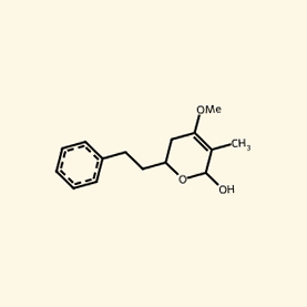 COC1=C(C)C(O)OC(CCc2ccccc2)C1